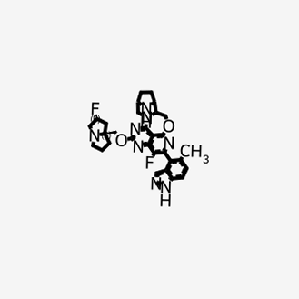 Cc1ccc2[nH]ncc2c1-c1nc2c3c(nc(OC[C@@]45CCCN4C[C@H](F)C5)nc3c1F)N1CC3CCC(N3)C1CO2